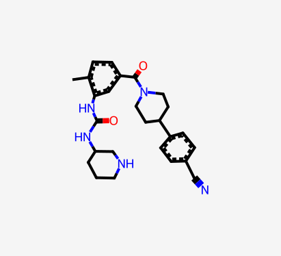 Cc1ccc(C(=O)N2CCC(c3ccc(C#N)cc3)CC2)cc1NC(=O)NC1CCCNC1